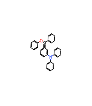 c1ccc(O[SiH](c2ccccc2)c2cccc(N(c3ccccc3)c3ccccc3)c2)cc1